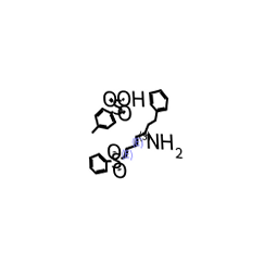 Cc1ccc(S(=O)(=O)O)cc1.N[C@H](/C=C/C=C/S(=O)(=O)c1ccccc1)CCc1ccccc1